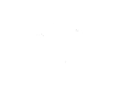 O=[N+]([O-])c1cc(Br)cc([N+](=O)[O-])c1Cl